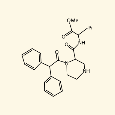 COC(=O)C(NC(=O)C1CNCCN1C(=O)C(c1ccccc1)c1ccccc1)C(C)C